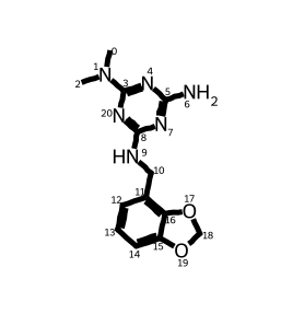 CN(C)c1nc(N)nc(NCc2cccc3c2OCO3)n1